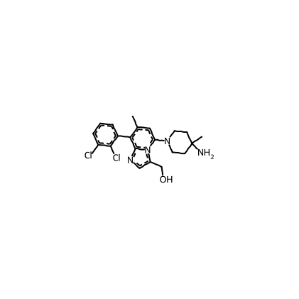 Cc1cc(N2CCC(C)(N)CC2)n2c(CO)cnc2c1-c1cccc(Cl)c1Cl